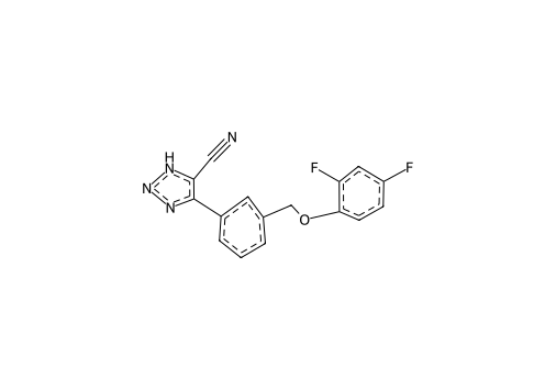 N#Cc1[nH]nnc1-c1cccc(COc2ccc(F)cc2F)c1